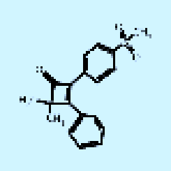 CC1(C)C(=O)C(c2ccc(S(C)(=O)=O)cc2)=C1c1ccccc1